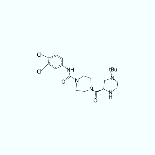 CC(C)(C)N1CCN[C@@H](C(=O)N2CCN(C(=O)Nc3ccc(Cl)c(Cl)c3)CC2)C1